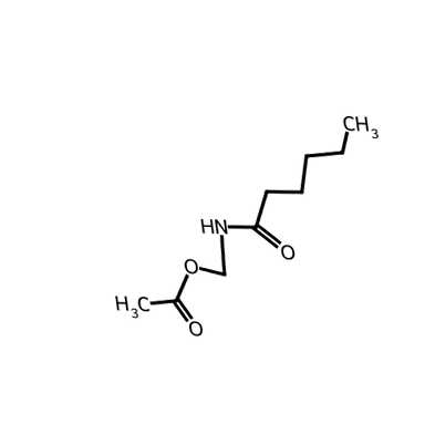 CCCCCC(=O)NCOC(C)=O